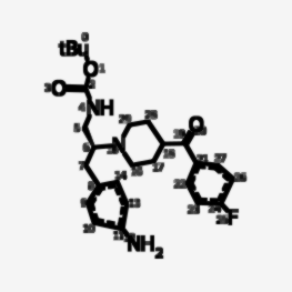 CC(C)(C)OC(=O)NC[C@H](Cc1ccc(N)cc1)N1CCC(C(=O)c2ccc(F)cc2)CC1